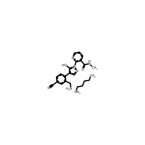 CCCCCN.CNC(=O)c1cccnc1-n1ncc(-c2ccc(C#N)cc2CN)c1O